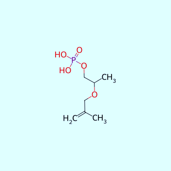 C=C(C)COC(C)COP(=O)(O)O